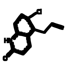 C=CCc1c(Cl)ccc2[nH]c(=O)ccc12